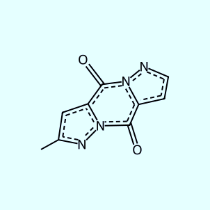 Cc1cc2c(=O)n3nccc3c(=O)n2n1